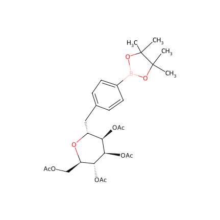 CC(=O)OC[C@H]1O[C@H](Cc2ccc(B3OC(C)(C)C(C)(C)O3)cc2)[C@@H](OC(C)=O)[C@@H](OC(C)=O)[C@@H]1OC(C)=O